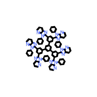 c1ccc(-n2c(-c3cc(-c4cc(-c5cc(-c6nc7cccnc7n6-c6ccccc6)cc(-c6nc7cccnc7n6-c6ccccc6)c5)cc(-c5cc(-c6nc7cccnc7n6-c6ccccc6)cc(-c6nc7cccnc7n6-c6ccccc6)c5)c4)cc(-c4nc5cccnc5n4-c4ccccc4)c3)nc3cccnc32)cc1